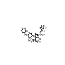 CS(=O)(=O)N1CCCC(n2nc(-c3ccc(Oc4ccccc4)cc3)c3c(N)ncnc32)C1